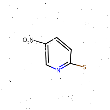 O=[N+]([O-])c1ccc([S])nc1